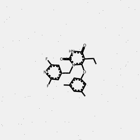 CCc1c(Oc2cc(C)cc(C)c2)n(Cc2cc(F)nc(F)c2)c(=O)[nH]c1=O